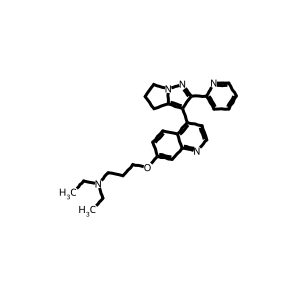 CCN(CC)CCCOc1ccc2c(-c3c(-c4ccccn4)nn4c3CCC4)ccnc2c1